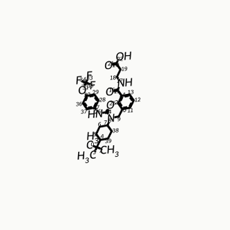 CC(C)(C)C1CCC(N(Cc2cccc(C(=O)NCCC(=O)O)c2)C(=O)Nc2ccc(OC(F)(F)F)cc2)CC1